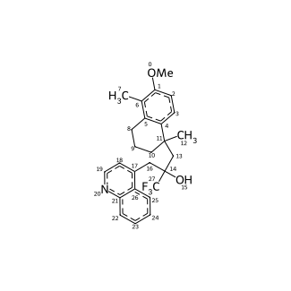 COc1ccc2c(c1C)CCCC2(C)CC(O)(Cc1ccnc2ccccc12)C(F)(F)F